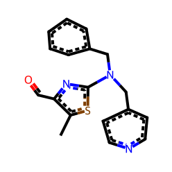 Cc1sc(N(Cc2ccccc2)Cc2ccncc2)nc1C=O